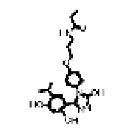 CCC(=O)NCCCOc1ccc(-n2c(O)nnc2-c2cc(C(C)C)c(O)cc2O)cc1